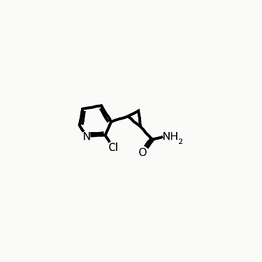 NC(=O)C1CC1c1cccnc1Cl